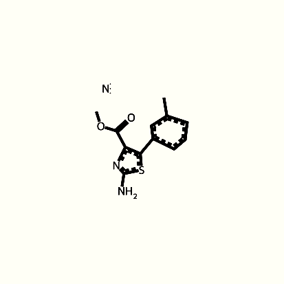 COC(=O)c1nc(N)sc1-c1cccc(C)c1.[N]